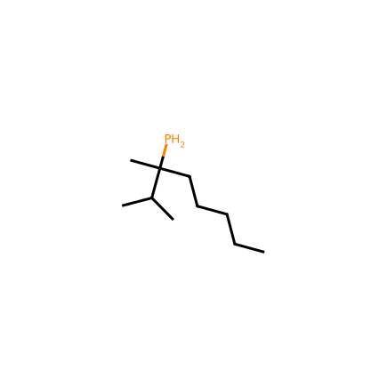 CCCCCC(C)(P)C(C)C